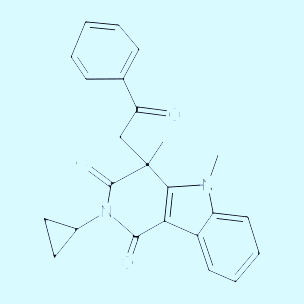 Cn1c2c(c3ccccc31)C(=O)N(C1CC1)C(=O)C2(C)CC(=O)c1ccccc1